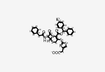 O=C([O-])Cc1csc(SC2=C(C(=O)OC(c3ccccc3)c3ccccc3)N3C(=O)[C@@H](NC(=O)Cc4ccccc4)[C@@H]3SC2)n1.[K+]